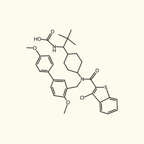 COc1ccc(-c2ccc(OC)c(CN(C(=O)c3sc4ccccc4c3Cl)C3CCC(C(NC(=O)O)C(C)(C)C)CC3)c2)cc1